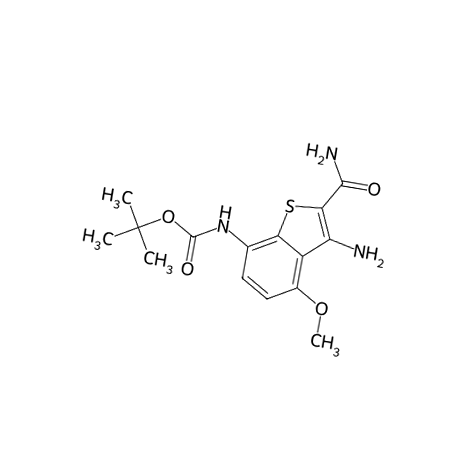 COc1ccc(NC(=O)OC(C)(C)C)c2sc(C(N)=O)c(N)c12